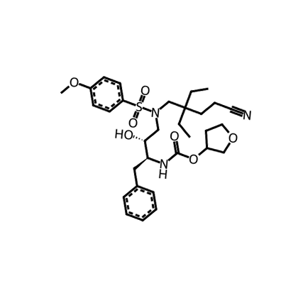 CCC(CC)(CCC#N)CN(C[C@@H](O)[C@H](Cc1ccccc1)NC(=O)OC1CCOC1)S(=O)(=O)c1ccc(OC)cc1